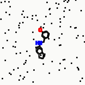 COc1cccc(CNC2CC3CC2C2CCCC32)c1